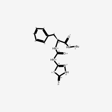 CCCCNC(=O)[C@H](Cc1ccccc1)NC(=O)Nc1n[nH]c(=S)s1